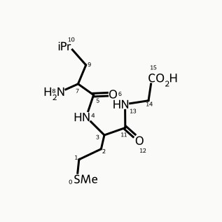 CSCCC(NC(=O)C(N)CC(C)C)C(=O)NCC(=O)O